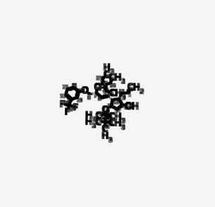 C=CC[C@@H]1[C@@H](/C=C/[C@H](COc2cccc(C(F)(F)F)c2)O[Si](CC)(CC)CC)[C@H](O[Si](C)(C)C(C)(C)C)C[C@@H]1O